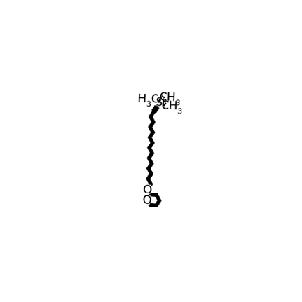 C[Si](C)(C)C#CCCCCCCCCCCCCCCOC1CCCCO1